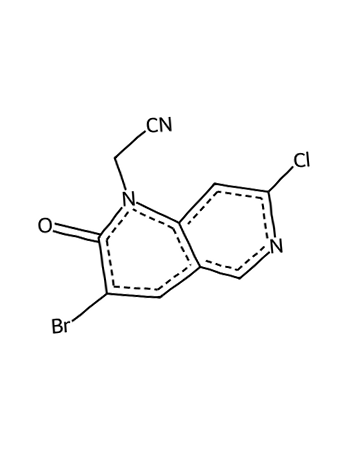 N#CCn1c(=O)c(Br)cc2cnc(Cl)cc21